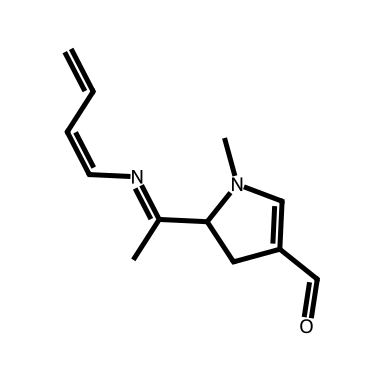 C=C/C=C\N=C(/C)C1CC(C=O)=CN1C